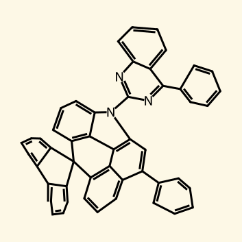 c1ccc(-c2nc(-n3c4cccc5c4c4c6c(cccc6c(-c6ccccc6)cc43)C53c4ccccc4-c4ccccc43)nc3ccccc23)cc1